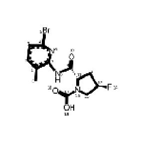 Cc1ccc(Br)nc1NC(=O)[C@@H]1C[C@@H](F)CN1C(=O)O